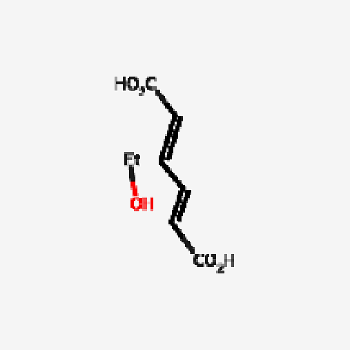 CCO.O=C(O)/C=C/C=C/C(=O)O